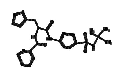 CC(C)(C)NS(=O)(=O)c1ccc(NC(=O)C(Cc2cccs2)NC(=O)c2ccccn2)cc1